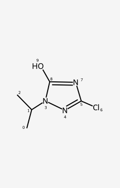 CC(C)n1nc(Cl)nc1O